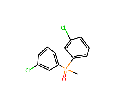 CP(=O)(c1cccc(Cl)c1)c1cccc(Cl)c1